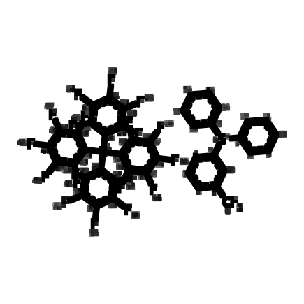 FC(F)(F)c1cccc([S+](c2ccccc2)c2ccccc2)c1.Fc1c(F)c(F)c([B-](c2c(F)c(F)c(F)c(F)c2F)(c2c(F)c(F)c(F)c(F)c2F)c2c(F)c(F)c(F)c(F)c2F)c(F)c1F